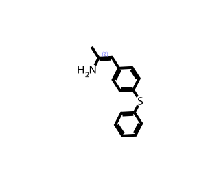 C/C(N)=C/c1ccc(Sc2ccccc2)cc1